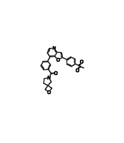 CS(=O)(=O)c1ccc(-c2cc3nccc(-c4cccc(C(=O)N5CCC6(COC6)C5)c4)c3o2)cc1